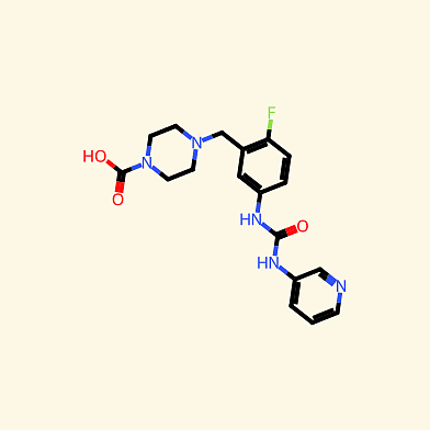 O=C(Nc1cccnc1)Nc1ccc(F)c(CN2CCN(C(=O)O)CC2)c1